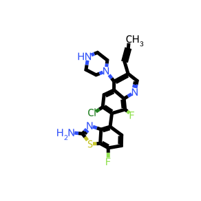 CC#Cc1cnc2c(F)c(-c3ccc(F)c4sc(N)nc34)c(Cl)cc2c1N1CCNCC1